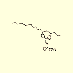 CCCCCCCCCCC(CCCCC)OC(=O)C=CC(=O)O